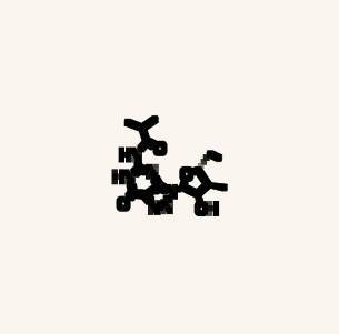 CC[C@H]1O[C@@H](n2nnc3c(=O)[nH]c(NC(=O)C(C)C)nc32)[C@H](O)[C@@H]1C